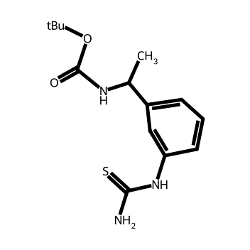 CC(NC(=O)OC(C)(C)C)c1cccc(NC(N)=S)c1